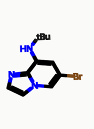 CC(C)(C)Nc1cc(Br)cn2ccnc12